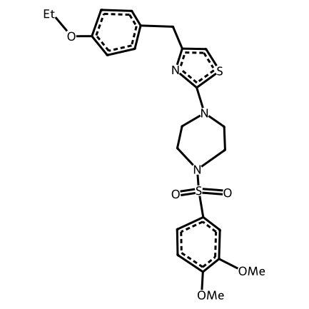 CCOc1ccc(Cc2csc(N3CCN(S(=O)(=O)c4ccc(OC)c(OC)c4)CC3)n2)cc1